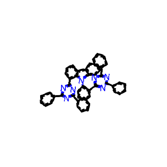 c1ccc(-c2nc(-c3ccccc3)nc(-c3ccccc3-n3c4ccccc4c4cccc(-c5nc(-c6ccccc6)nc(-c6ccccc6)n5)c43)n2)cc1